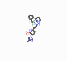 COc1nc(C=Cc2nc3n(n2)CCC[C@H]3c2ccccc2C(F)(F)F)ccc1-n1cnc(C)c1